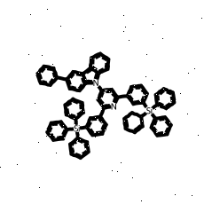 C1=CCC([Si](c2ccccc2)(c2ccccc2)c2cccc(-c3cc(-n4c5ccccc5c5cc(-c6ccccc6)ccc54)cc(-c4cccc([Si](c5ccccc5)(c5ccccc5)c5ccccc5)c4)n3)c2)C=C1